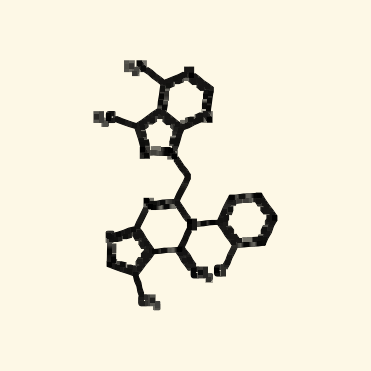 C=C1c2c(C)csc2N=C(Cn2nc(C)c3c(N)ncnc32)N1c1ccccc1Cl